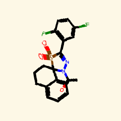 CC(=O)N1N=C(c2cc(F)ccc2F)S(=O)(=O)C12CCCc1ccccc12